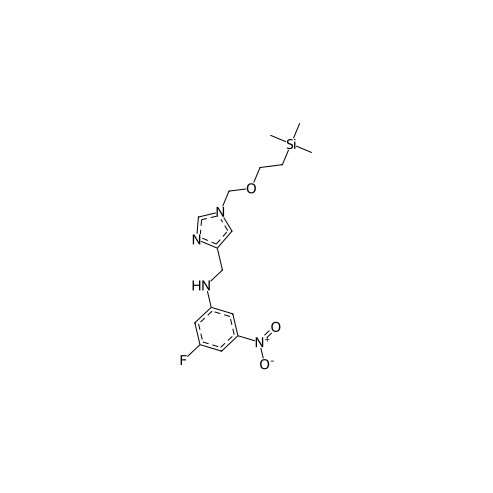 C[Si](C)(C)CCOCn1cnc(CNc2cc(F)cc([N+](=O)[O-])c2)c1